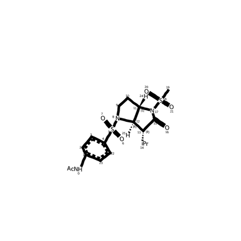 CC(=O)Nc1ccc(S(=O)(=O)N2CC[C@H]3[C@H]2[C@@H](C(C)C)C(=O)N3S(C)(=O)=O)cc1